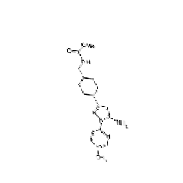 COC(=O)NCC1CCC(c2cc(N)n(-c3ccc(C)cn3)n2)CC1